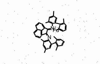 Cc1cc(C)c(N=C2C(=[N+]([Pd])c3c(C)cc(C)cc3-c3c(C)cccc3C)c3cccc4cccc2c34)c(-c2c(C)cccc2C)c1